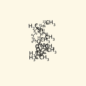 C=[C](CCC[C@@H]1C[C@H]1OC(=O)N[C@H](C(=O)OC(C)(C)C)C(C)(C)C)[Sn]([CH2]CCC)([CH2]CCC)[CH2]CCC